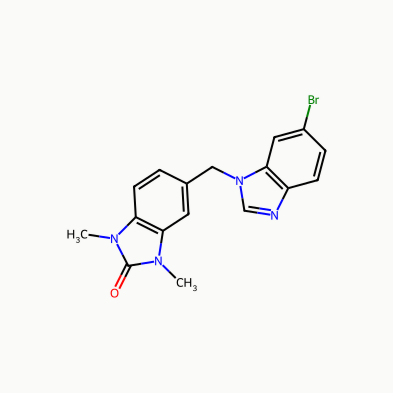 Cn1c(=O)n(C)c2cc(Cn3cnc4ccc(Br)cc43)ccc21